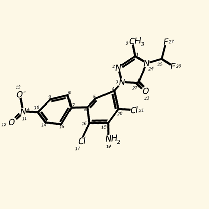 Cc1nn(-c2cc(-c3ccc([N+](=O)[O-])cc3)c(Cl)c(N)c2Cl)c(=O)n1C(F)F